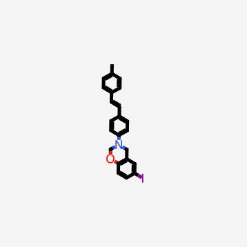 Cc1ccc(/C=C/c2ccc(N3COc4ccc(I)cc4C3)cc2)cc1